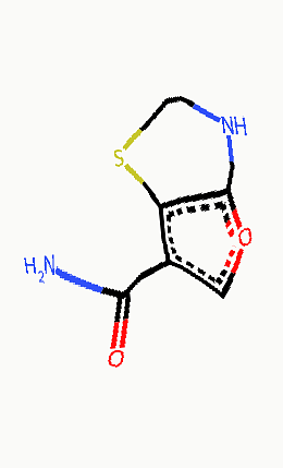 NC(=O)c1coc2c1SCN2